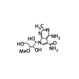 COC(CO)C(O)C(O)n1cc(C(N)=O)c2c(N)nc(C)nc21